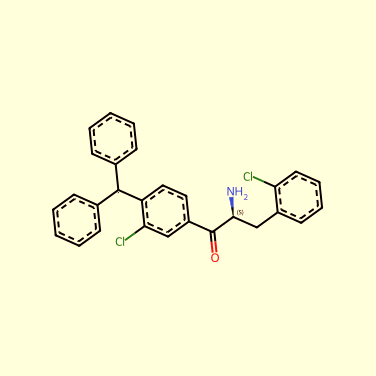 N[C@@H](Cc1ccccc1Cl)C(=O)c1ccc([C](c2ccccc2)c2ccccc2)c(Cl)c1